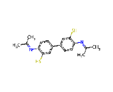 CC(C)=Nc1ccc(-c2ccc(N=C(C)C)c(S)c2)cc1S